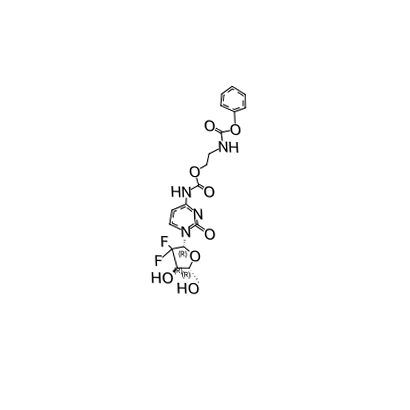 O=C(Nc1ccn([C@@H]2O[C@H](CO)[C@@H](O)C2(F)F)c(=O)n1)OCCNC(=O)Oc1ccccc1